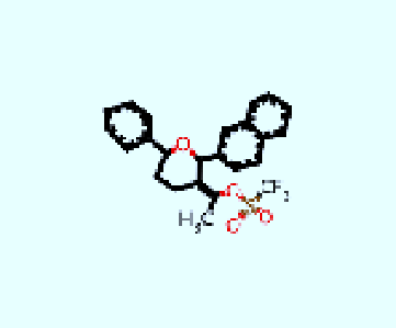 CC(OS(=O)(=O)C(F)(F)F)=C1CCC(c2ccccc2)OC1c1ccc2ccccc2c1